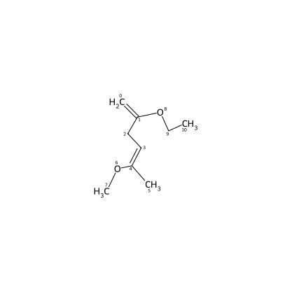 C=C(CC=C(C)OC)OCC